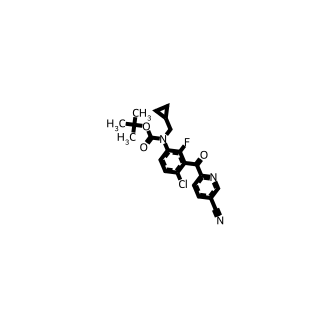 CC(C)(C)OC(=O)N(CC1CC1)c1ccc(Cl)c(C(=O)c2ccc(C#N)cn2)c1F